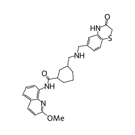 COc1ccc2cccc(NC(=O)C3CCCC(CNCc4ccc5c(c4)NC(=O)CS5)C3)c2n1